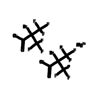 O=C([O-])C(Br)(C(F)(F)F)C(F)(F)F.O=C([O-])C(Br)(C(F)(F)F)C(F)(F)F.[Mg+2]